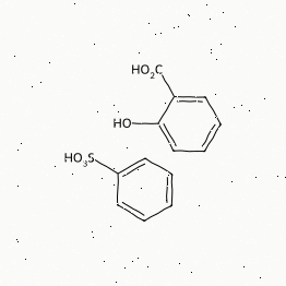 O=C(O)c1ccccc1O.O=S(=O)(O)c1ccccc1